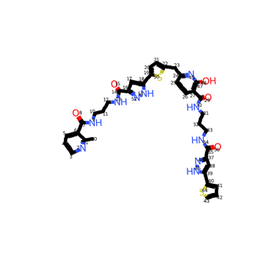 Cc1ncccc1C(=O)NCCCNC(=O)c1cc(-c2ccc(Cc3ccc(C(=O)NCCCNC(=O)c4cc(-c5cccs5)[nH]n4)c(O)n3)s2)[nH]n1